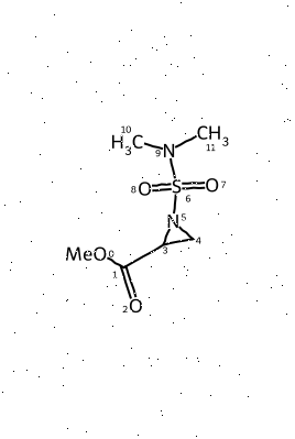 COC(=O)C1CN1S(=O)(=O)N(C)C